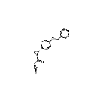 C=C(/C=C\C(=C/C)OCc1ccccc1)[C@H]1C[C@@H]1C(=O)N=[N+]=[N-]